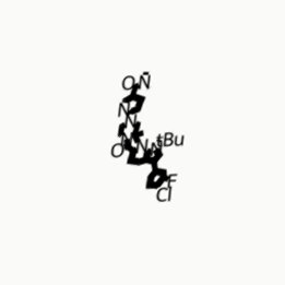 CN(C)C(=O)c1ccc(N2CCN(C(=O)c3ccc4c(-c5ccc(Cl)c(F)c5)cn(C(C)(C)C)c4n3)C(C)(C)C2)nc1